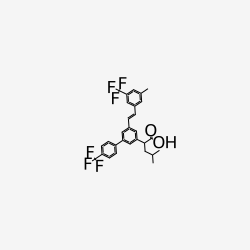 Cc1cc(/C=C/c2cc(-c3ccc(C(F)(F)F)cc3)cc(C(CC(C)C)C(=O)O)c2)cc(C(F)(F)F)c1